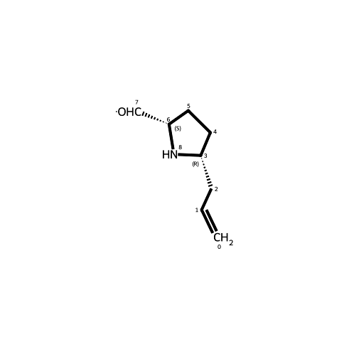 C=CC[C@H]1CC[C@@H]([C]=O)N1